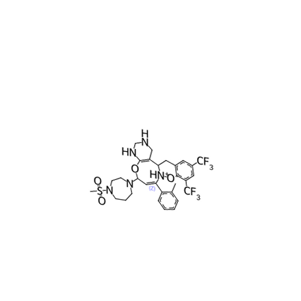 Cc1ccccc1/C1=C/C(N2CCCN(S(C)(=O)=O)CC2)OC2=C(CNCN2)C(Cc2cc(C(F)(F)F)cc(C(F)(F)F)c2)[NH+]1[O-]